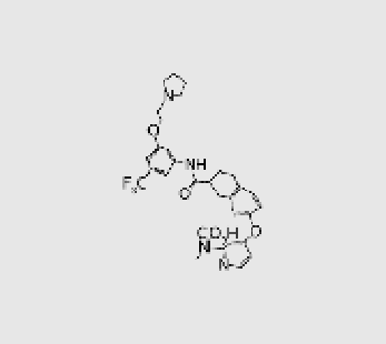 CN(C(=O)O)c1cc(Oc2ccc3c(c2)CC(C(=O)Nc2cc(OCCN4CCCC4)cc(C(F)(F)F)c2)CC3)ccn1